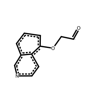 O=[C]COc1cccc2cnccc12